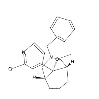 CO[C@@]1(c2ccnc(Cl)c2)[C@@H]2CCC[C@H]1CN(Cc1ccccc1)C2